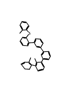 CC1=C(c2cccc(-c3cccc(-c4cccc(-c5ccccc5Sc5ccccc5C)c4)c3)c2C)CCC=C1